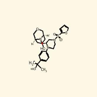 CC(C)(O)c1ccc(N2CCN(S(=O)(=O)c3cccs3)C[C@@H]2CN2[C@@H]3COC[C@H]2CC(O)C3)cc1